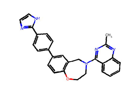 Cc1nc(N2CCOc3ccc(-c4ccc(-c5ncc[nH]5)cc4)cc3C2)c2ccccc2n1